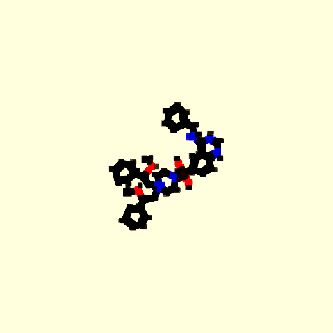 CCOC(C[N+]1(CC(OCC)c2ccccc2)CCN(S(=O)(=O)c2ccc3ncnc(NCc4ccccc4)c3c2)CC1)c1ccccc1